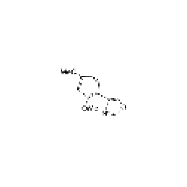 COc1ccc(-c2co[c]n2)c(OC)c1